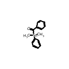 [CH3][Sn]([CH3])([C](=O)c1ccccc1)[c]1ccccc1